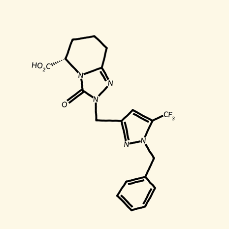 O=C(O)[C@@H]1CCCc2nn(Cc3cc(C(F)(F)F)n(Cc4ccccc4)n3)c(=O)n21